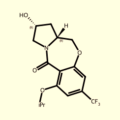 CC(C)Oc1cc(C(F)(F)F)cc2c1C(=O)N1C[C@H](O)C[C@@H]1CO2